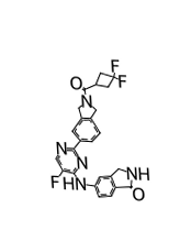 O=C1NCc2cc(Nc3nc(-c4ccc5c(c4)CN(C(=O)C4CC(F)(F)C4)C5)ncc3F)ccc21